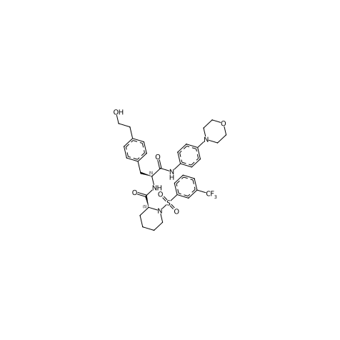 O=C(Nc1ccc(N2CCOCC2)cc1)[C@H](Cc1ccc(CCO)cc1)NC(=O)[C@@H]1CCCCN1S(=O)(=O)c1cccc(C(F)(F)F)c1